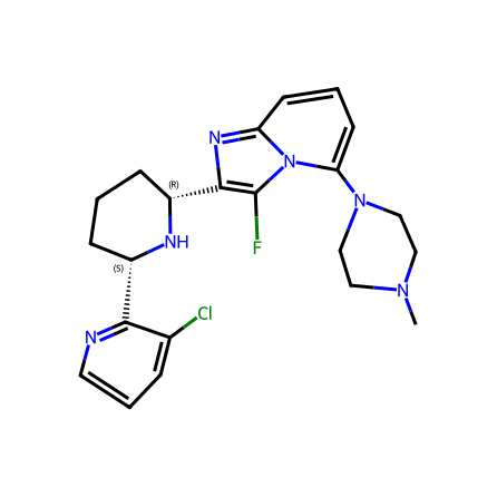 CN1CCN(c2cccc3nc([C@H]4CCC[C@@H](c5ncccc5Cl)N4)c(F)n23)CC1